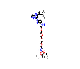 CCC(CC)c1cc(N[C@H]2CC[C@H](NCCOCCOCCOCCOCCNC(=O)OC(C)(C)C)C2)n2nccc2n1